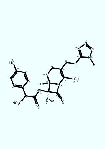 CO[C@@]1(NC(=O)C(C(=O)O)c2ccc(O)cc2)C(=O)N2C(C(=O)O)=C(CSc3nnnn3C)CS[C@H]21